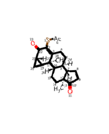 CC(=O)SC1=C2CC[C@H]3[C@@H]4CCC(=O)[C@@]4(C)CC[C@@H]3[C@@]2(C)C2C[C@@H]2C1=O